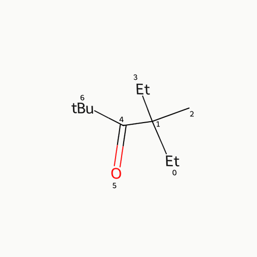 CCC(C)(CC)C(=O)C(C)(C)C